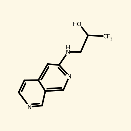 OC(CNc1cc2ccncc2cn1)C(F)(F)F